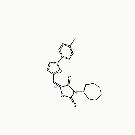 O=C1/C(=C\c2ccc(-c3ccc(F)cc3)o2)SC(=S)N1C1CCCCCC1